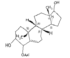 CC(=O)OC1C2=CC[C@@H]3[C@@H](CC[C@]4(C)C(O)CC[C@@H]34)[C@@]2(C)CCC1O